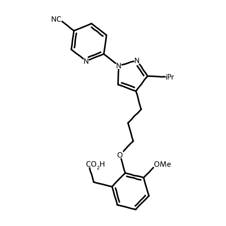 COc1cccc(CC(=O)O)c1OCCCc1cn(-c2ccc(C#N)cn2)nc1C(C)C